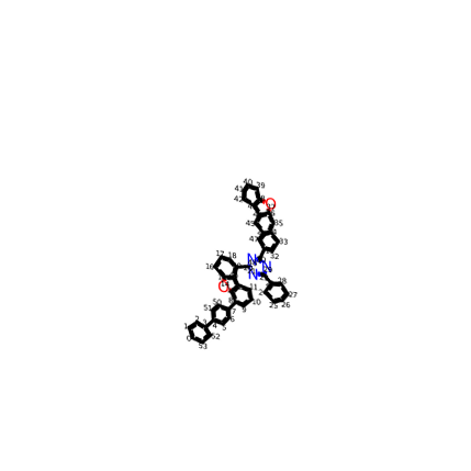 c1ccc(-c2ccc(-c3cccc4c3oc3cccc(-c5nc(-c6ccccc6)nc(-c6ccc7cc8oc9ccccc9c8cc7c6)n5)c34)cc2)cc1